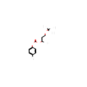 CCC(C)(C)OCCC(C)OC(=O)Oc1ccc([N+](=O)[O-])cc1